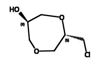 O[C@@H]1COC[C@@H](CCl)OC1